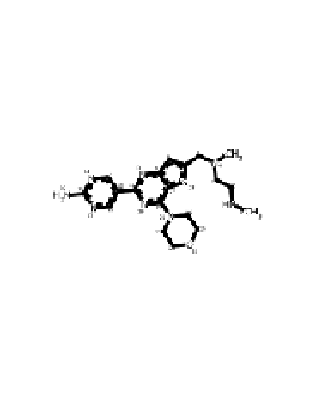 CNCCN(C)Cc1cc2nc(-c3cnc(N)nc3)nc(N3CCOCC3)c2s1